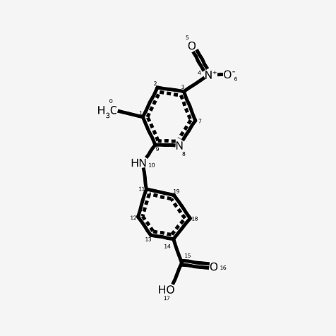 Cc1cc([N+](=O)[O-])cnc1Nc1ccc(C(=O)O)cc1